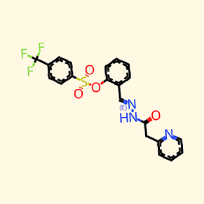 O=C(Cc1ccccn1)N/N=C/c1ccccc1OS(=O)(=O)c1ccc(C(F)(F)F)cc1